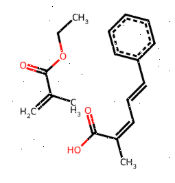 C=C(C)C(=O)OCC.CC(=CC=Cc1ccccc1)C(=O)O